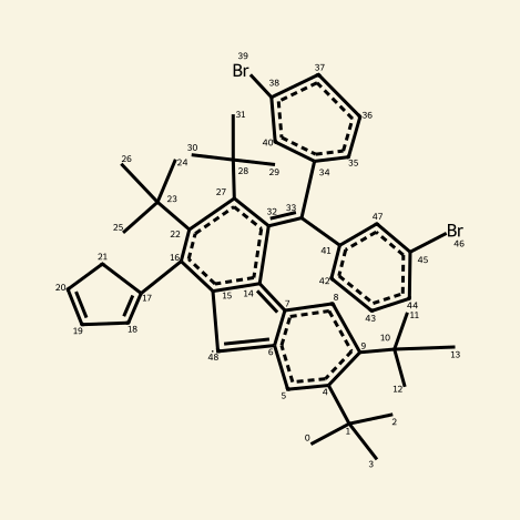 CC(C)(C)c1cc2c(cc1C(C)(C)C)=c1c(c(C3=CC=CC3)c(C(C)(C)C)c(C(C)(C)C)c1=C(c1cccc(Br)c1)c1cccc(Br)c1)[C]=2